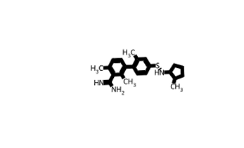 Cc1cc(SNC2CCCC2C)ccc1-c1ccc(C)c(C(=N)N)c1C